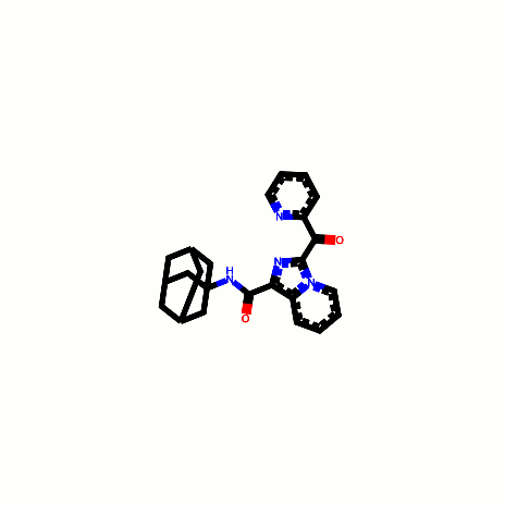 O=C(NC12CC3CC(CC(C3)C1)C2)c1nc(C(=O)c2ccccn2)n2ccccc12